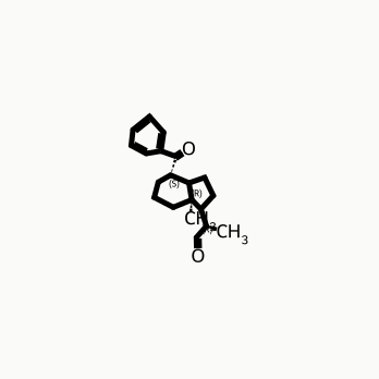 C[C@@H](C=O)C1CCC2[C@@H](C(=O)c3ccccc3)CCC[C@@]21C